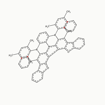 Cc1cc(C)c(B2c3cccc4c3-n3c5c2c(-c2ccccc2)c2c6ccccc6oc2c5c2c5oc6ccccc6c5c(-c5ccccc5)c(c23)B4c2c(C)cc(C)cc2C)c(C)c1